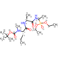 CCC[C@@H](C(=O)N[C@@H](C)C(=O)NC(C)P(=O)(OCC)OCC)N(C)C(=O)OC(C)(C)C